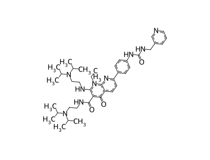 CCn1c(NCCN(C(C)C)C(C)C)c(C(=O)NCCN(C(C)C)C(C)C)c(=O)c2ccc(-c3ccc(NC(=O)NCc4cccnc4)cc3)nc21